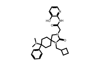 CN(C)C1(c2ccccc2)CCC2(CC1)CN(CC(=O)Nc1ncccc1O)C(=O)N2CC1CCC1